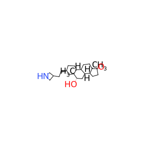 C[C@]12CC/C(=C/CC3CNC3)CC1[C@@H](O)C[C@@H]1[C@@H]2CC[C@]2(C)C(=O)CC[C@@H]12